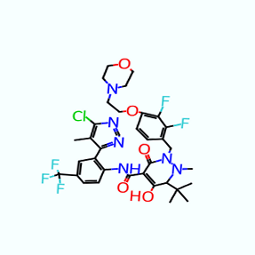 Cc1c(Cl)ncnc1-c1cc(C(F)(F)F)ccc1NC(=O)C1=C(O)C(C(C)(C)C)N(C)N(Cc2ccc(OCCN3CCOCC3)c(F)c2F)C1=O